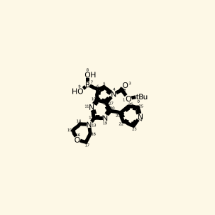 CC(C)(C)OC(=O)n1cc(B(O)O)c2nc(N3CCOCC3)nc(-c3ccncc3)c21